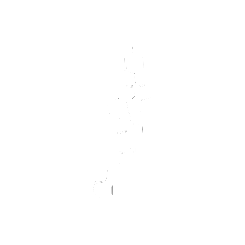 Cc1ccc(S(=O)(=O)C[C@@H]2CCCC[C@]2(NC(C)C)N2CC[C@H](NC(=O)OCc3ccccc3)C2=O)cc1